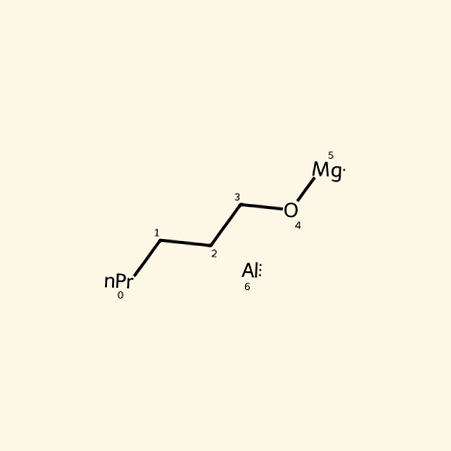 CCCCCC[O][Mg].[Al]